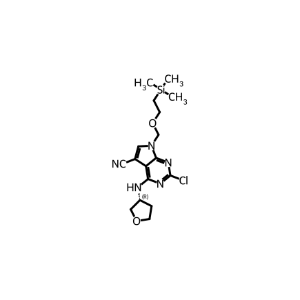 C[Si](C)(C)CCOCn1cc(C#N)c2c(N[C@@H]3CCOC3)nc(Cl)nc21